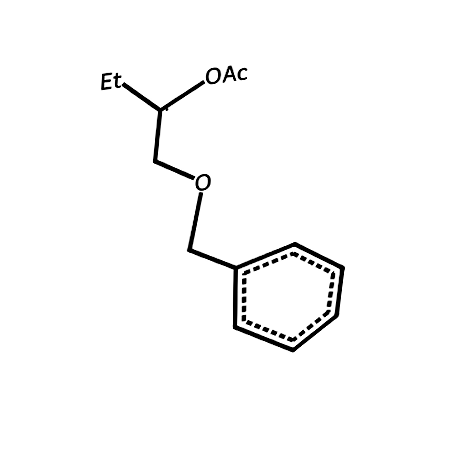 CC[C](COCc1ccccc1)OC(C)=O